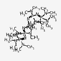 CN(C)P(=NPN=P(N=P(N(C)C)(N(C)C)N(C)C)(N(C)C)N(C)C)(N=P(N(C)C)(N(C)C)N(C)C)N(C)C